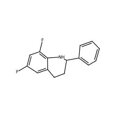 Fc1cc(F)c2c(c1)CCC(c1ccccc1)N2